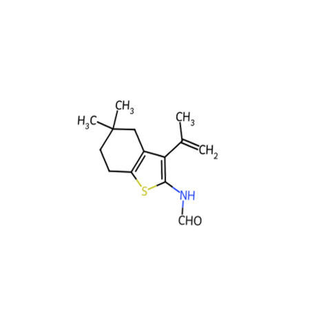 C=C(C)c1c(NC=O)sc2c1CC(C)(C)CC2